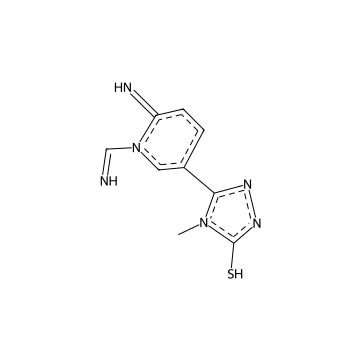 Cn1c(S)nnc1-c1ccc(=N)n(C=N)c1